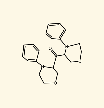 O=C(C1COCCN1c1ccccc1)C1COCCN1c1ccccc1